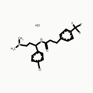 CN(C)CCC(NC(=O)CCc1ccc(C(F)(F)F)cc1)c1ccc(Cl)cc1.Cl